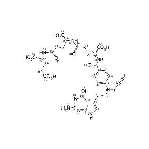 C#CCN(CCc1c[nH]c2nc(N)nc(O)c12)c1ccc(C(=O)N[C@@H](CCC(=O)N[C@@H](CCC(=O)N[C@@H](CCC(=O)O)C(=O)O)C(=O)O)C(=O)O)nc1